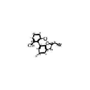 Fc1cc2c(c(-c3c(Cl)cccc3Cl)c1)OC(CBr)C2